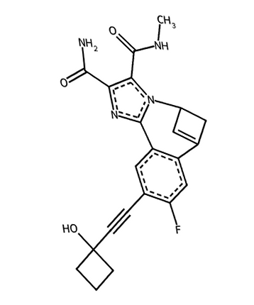 CNC(=O)c1c(C(N)=O)nc2n1C1C=C(C1)c1cc(F)c(C#CC3(O)CCC3)cc1-2